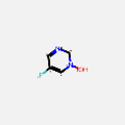 ON1C=C(F)C=NC1